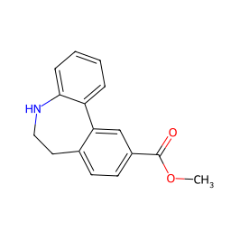 COC(=O)c1ccc2c(c1)-c1ccccc1NCC2